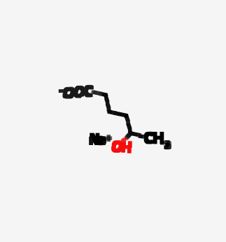 CC(O)CCCC(=O)[O-].[Na+]